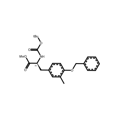 COC(=O)[C@H](Cc1ccc(OCc2ccccc2)c(C)c1)NC(=O)OC(C)(C)C